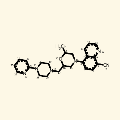 CC1CN(c2ccc(C#N)c3ncccc23)CC(CN2CCN(c3ccccn3)CC2)O1